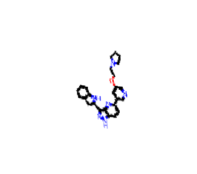 c1ccc2[nH]c(-c3n[nH]c4ccc(-c5cncc(OCCN6CCCC6)c5)nc34)cc2c1